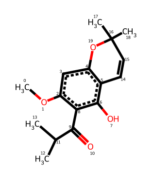 COc1cc2c(c(O)c1C(=O)C(C)C)C=CC(C)(C)O2